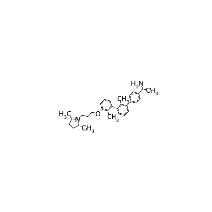 Cc1c(OCCCN2[C@H](C)CC[C@H]2C)cccc1-c1cccc(-c2ccc([C@H](C)N)cc2)c1C